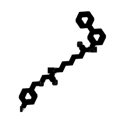 O=C(COCc1ccc(F)cc1)NCCCCCC(=O)Nc1cccc(-c2ccccc2)c1